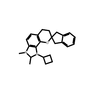 CC1N(C)c2ccc3c(c2N1C1CCC1)OC1(CC3)Cc2ccccc2C1